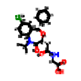 CC(C)N1C(=O)[C@@H](CC(=O)NCC(=O)O)O[C@@H](c2ccccc2)c2cc(Cl)ccc21